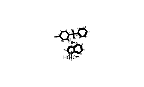 CC(=O)O.CC1CCC(C(C)(C)c2ccccc2)C(O)C1.c1ccc2[nH]ccc2c1